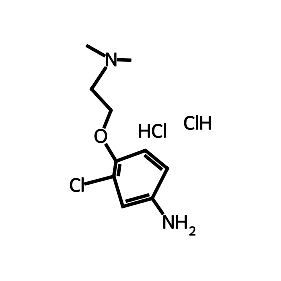 CN(C)CCOc1ccc(N)cc1Cl.Cl.Cl